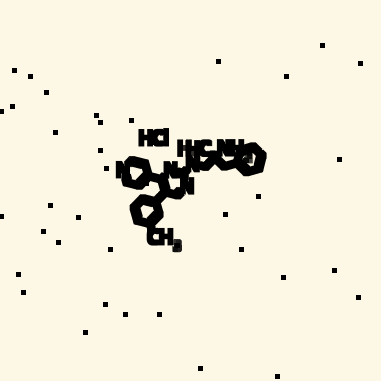 Cc1cccc(-c2cnc(NCC(C)(N)Cc3ccccc3)nc2-c2ccncc2)c1.Cl